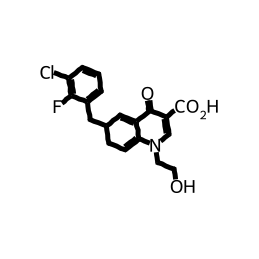 O=C(O)c1cn(CCO)c2c(c1=O)=CC(Cc1cccc(Cl)c1F)CC=2